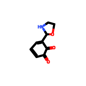 O=C1C=CC=C(C2NCCO2)C1=O